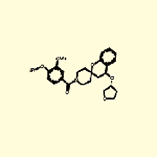 COc1cc(C(=O)N2CCC3(CC2)CC(O[C@@H]2CCOC2)c2ccccc2O3)ccc1OC(C)C